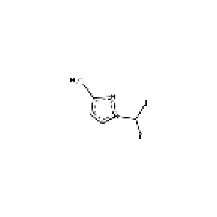 Cc1ccn(C(F)I)n1